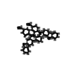 CC(C)(C)c1ccc(N2B3c4cc(C(C)(C)C)ccc4-n4c5ccc6c7ccccc7oc6c5c5ccc(c3c54)-c3cc4c(cc32)sc2ccccc24)cc1